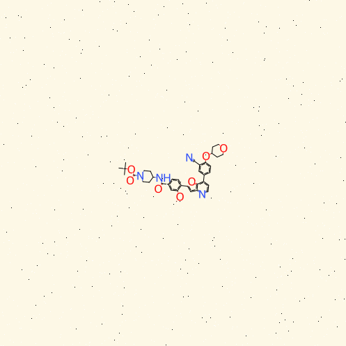 COc1cc(C(=O)NC2CCN(C(=O)OC(C)(C)C)CC2)ccc1-c1cc2nccc(-c3ccc(OC4CCOCC4)c(C#N)c3)c2o1